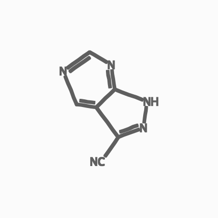 N#Cc1n[nH]c2ncncc12